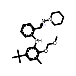 COCOc1c(C)cc(C(C)(C)C)cc1Pc1ccccc1/C=N/N1CCCCC1